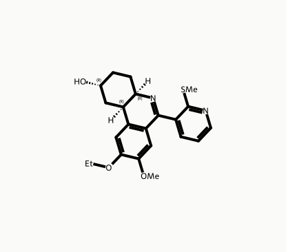 CCOc1cc2c(cc1OC)C(c1cccnc1SC)=N[C@@H]1CC[C@@H](O)C[C@H]21